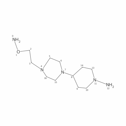 NOCCN1CCN(C2CCN(N)CC2)CC1